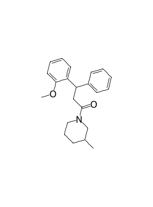 COc1ccccc1C(CC(=O)N1CCCC(C)C1)c1ccccc1